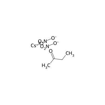 CCC(C)=O.O=[N+]([O-])[O-].O=[N+]([O-])[O-].[Cs+].[K+]